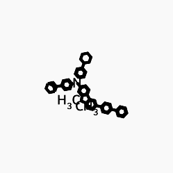 CC1(C)c2ccc(-c3ccc(-c4ccccc4)cc3)cc2-c2ccc(N(c3ccc(C4CCCCC4)cc3)c3ccc(C4CC5CCC4CC5)cc3)cc21